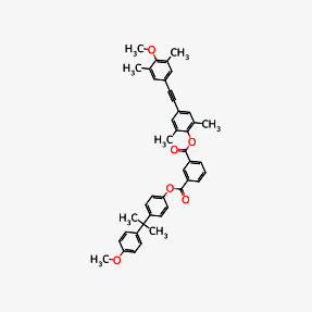 COc1ccc(C(C)(C)c2ccc(OC(=O)c3cccc(C(=O)Oc4c(C)cc(C#Cc5cc(C)c(OC)c(C)c5)cc4C)c3)cc2)cc1